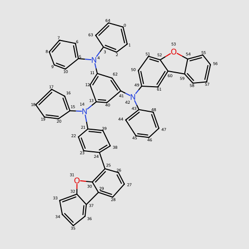 c1ccc(N(c2ccccc2)c2cc(N(c3ccccc3)c3ccc(-c4cccc5c4oc4ccccc45)cc3)cc(N(c3ccccc3)c3ccc4oc5ccccc5c4c3)c2)cc1